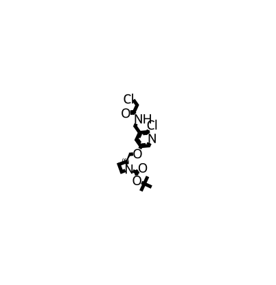 CC(C)(C)OC(=O)N1CC[C@H]1COc1cnc(Cl)c(CNC(=O)CCl)c1